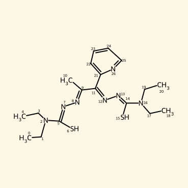 CCN(CC)/C(S)=N/N=C(C)/C(=N/N=C(\S)N(CC)CC)c1ccccn1